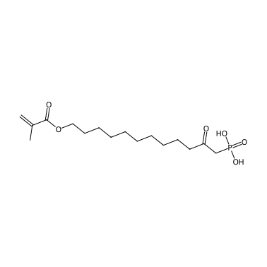 C=C(C)C(=O)OCCCCCCCCCCC(=O)CP(=O)(O)O